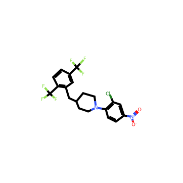 O=[N+]([O-])c1ccc(N2CCC(Cc3cc(C(F)(F)F)ccc3C(F)(F)F)CC2)c(Cl)c1